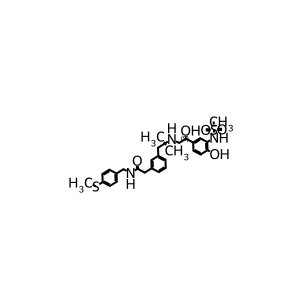 CSc1ccc(CNC(=O)Cc2cccc(CC(C)(C)NC[C@@H](O)c3ccc(O)c(NS(C)(=O)=O)c3)c2)cc1